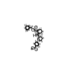 COC(=O)c1ccc(N2CCCC(N[C@@H]3CCCC[C@H]3NC(=O)OCc3ccccc3)C2)cc1